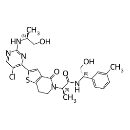 Cc1cccc([C@@H](CO)NC(=O)[C@@H](C)N2CCc3sc(-c4nc(N[C@@H](C)CO)ncc4Cl)cc3C2=O)c1